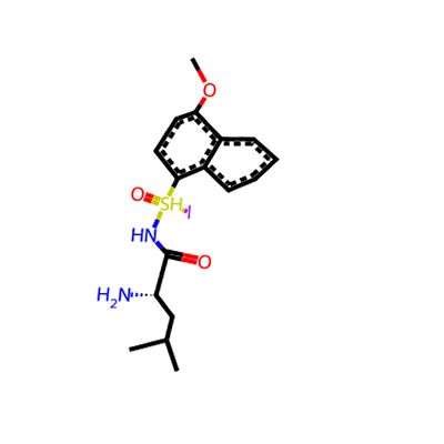 COc1ccc([SH](=O)(I)NC(=O)[C@@H](N)CC(C)C)c2ccccc12